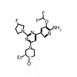 CC[C@H]1CN(c2cc(-c3cnc(N)c(OC(F)F)c3)nc(N3CC[C@@H](F)C3)n2)CC[S+]1[O-]